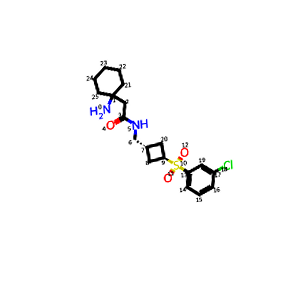 NC1(CC(=O)NC[C@H]2C[C@H](S(=O)(=O)c3cccc(Cl)c3)C2)CCCCC1